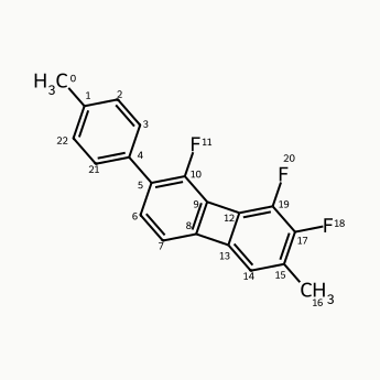 Cc1ccc(-c2ccc3c(c2F)-c2c-3cc(C)c(F)c2F)cc1